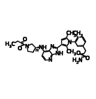 CCS(=O)(=O)N1CC[C@H](Nc2ccnc3[nH]c(-c4cc(C)n(-c5cc(CS(N)(=O)=O)ccc5C)c4C)nc23)C1